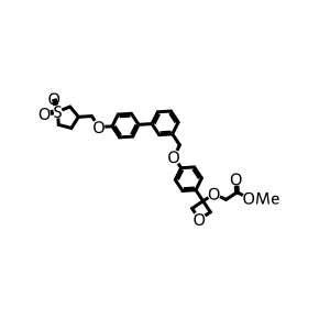 COC(=O)COC1(c2ccc(OCc3cccc(-c4ccc(OCC5CCS(=O)(=O)C5)cc4)c3)cc2)COC1